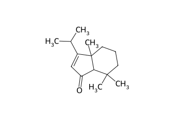 CC(C)C1=CC(=O)C2C(C)(C)CCCC12C